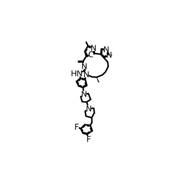 C=C1/N=C2\Nc3ccc(N4CCC(N5CCC(Cc6cc(F)cc(F)c6)CC5)CC4)cc3N2C[C@H](C)CCCCc2c(cnn2C)-c2cc1cc(C)n2